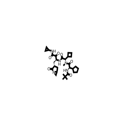 CN(C(=O)[C@H](NC(=O)C(C)(C)C)C1CCCC1)[C@H](C(=O)N[C@@H](C[C@@H]1CC2CN2C1=O)C(=O)C(=O)NC1CC1)C1CCC1